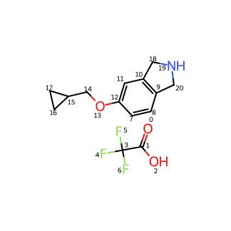 O=C(O)C(F)(F)F.c1cc2c(cc1OCC1CC1)CNC2